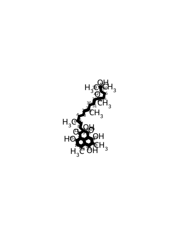 C/C(=C\CC/C(C)=C/CC1(O)C(=O)c2c(O)cc(C)c3c(O)c(C)c(O)c(c23)C1=O)C/C=C/C1(C)CCC(C(C)(C)O)O1